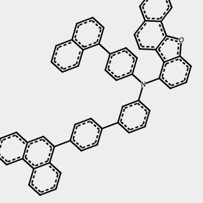 c1cc(-c2ccc(-c3cc4ccccc4c4ccccc34)cc2)cc(N(c2ccc(-c3cccc4ccccc34)cc2)c2cccc3oc4c5ccccc5ccc4c23)c1